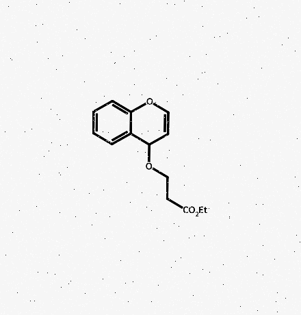 CCOC(=O)CCOC1C=COc2ccccc21